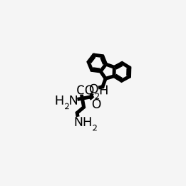 NCCC(N)(C(=O)O)C(=O)OCC1c2ccccc2-c2ccccc21